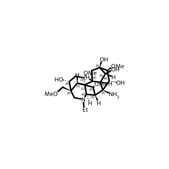 CCN1C[C@]2(COC)[C@H](O)C[C@H](OC)[C@@]34[C@@H]5C[C@@]6(O)[C@H](O)[C@@H]5[C@@](N)([C@@H]([C@H](OC)[C@H]23)[C@@H]14)[C@@H](O)[C@@H]6OC